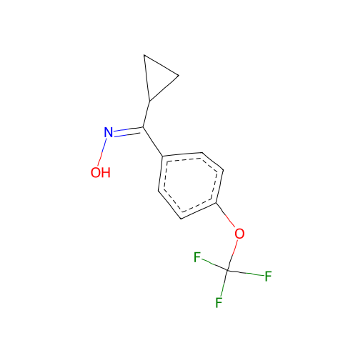 O/N=C(\c1ccc(OC(F)(F)F)cc1)C1CC1